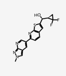 Cn1cc2cc(-c3ccc4cc([C@@H](O)[C@H]5CC5(F)F)sc4n3)cnc2n1